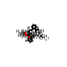 COc1nc(-c2cccc3sc(NC(=O)OC(C)(C)C)c(C#N)c23)c(F)c2nc([S+](C)[O-])nc(N3C[C@H]4CC[C@@H](C3)N4C(=O)OC(C)(C)C)c12